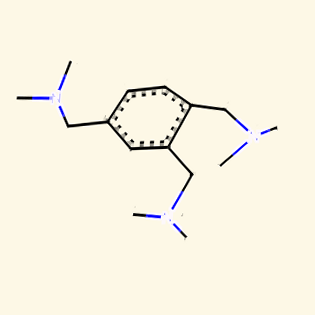 CN(C)Cc1ccc(CN(C)C)c(CN(C)C)c1